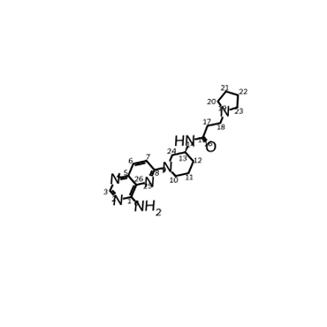 Nc1ncnc2ccc(N3CCC[C@H](NC(=O)CCN4CCCC4)C3)nc12